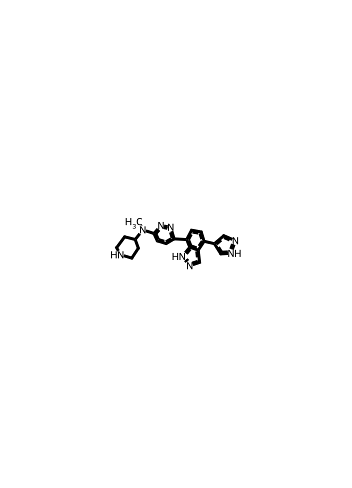 CN(c1ccc(-c2ccc(-c3cn[nH]c3)c3cn[nH]c23)nn1)C1CCNCC1